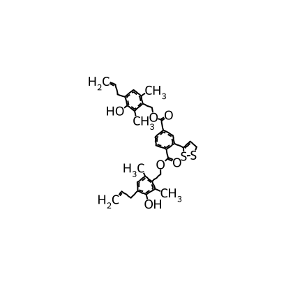 C=CCc1cc(C)c(COC(=O)c2ccc(C(=O)OCc3c(C)cc(CC=C)c(O)c3C)c(C3=CCSS3)c2)c(C)c1O